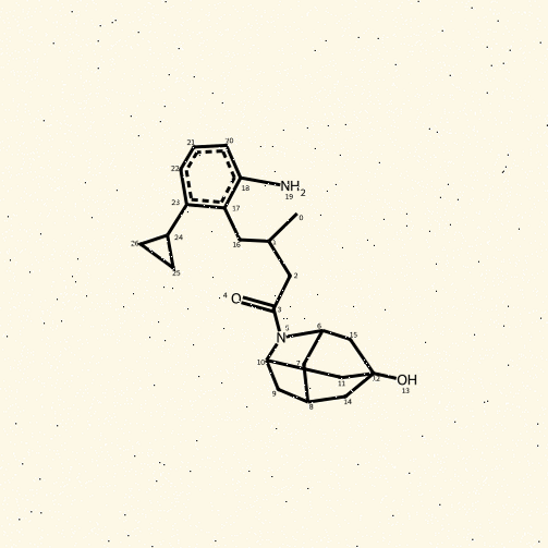 CC(CC(=O)N1C2CC3CC1CC(O)(C3)C2)Cc1c(N)cccc1C1CC1